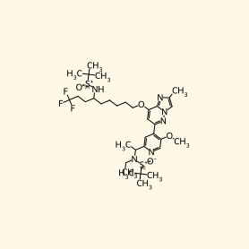 CCN(C(C)c1cc(-c2cc(OCCCCCC(CCC(F)(F)F)N[S@@+]([O-])C(C)(C)C)c3nc(C)cn3n2)c(OC)cn1)[S@@+]([O-])C(C)(C)C